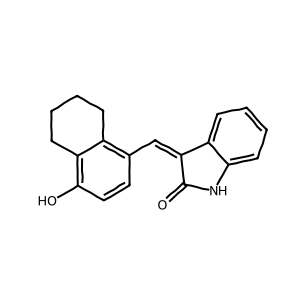 O=C1Nc2ccccc2/C1=C/c1ccc(O)c2c1CCCC2